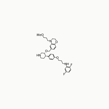 COCCCN1CCOc2ccc(CO[C@H]3CNCC[C@@H]3c3ccc(OCCCNc4cc(F)ccc4F)cc3)cc21